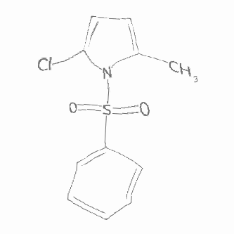 Cc1ccc(Cl)n1S(=O)(=O)c1ccccc1